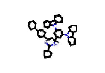 CC1(c2cc(N3C4=C(CCC=C4)C4C=CC=CC43)cc(-n3c4ccccc4c4ccccc43)c2)C=C(c2ccc(C3C=CC=CC3)cc2)N=C(c2ccccc2)N1